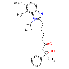 COc1ccc2nc(CCCCC(=O)C[C@@](C)(O)c3ccccc3)n(C3CCC3)c2c1C